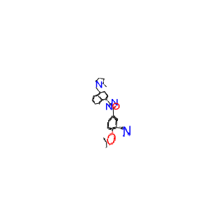 CC(C)Oc1ccc(-c2nc(-c3ccc(CN4CCCC4C)c4ccccc34)no2)cc1C#N